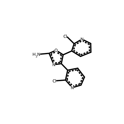 Nc1nc(-c2cccnc2Cl)c(-c2cccnc2Cl)o1